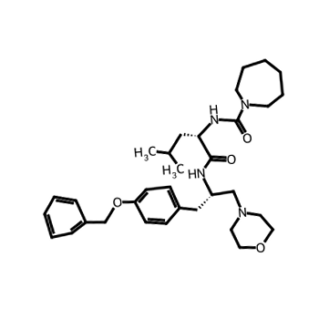 CC(C)C[C@H](NC(=O)N1CCCCCC1)C(=O)N[C@@H](Cc1ccc(OCc2ccccc2)cc1)CN1CCOCC1